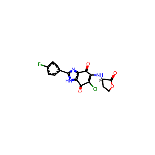 O=C1C(N[C@H]2CCOC2=O)=C(Cl)C(=O)c2[nH]c(-c3ccc(F)cc3)nc21